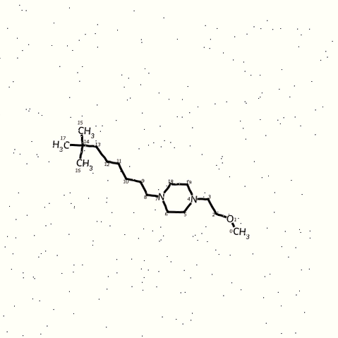 COCCN1CCN(CCCCCCC(C)(C)C)CC1